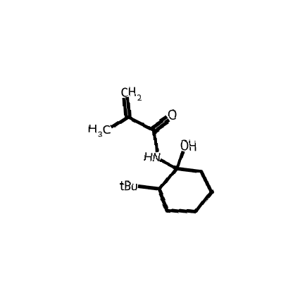 C=C(C)C(=O)NC1(O)CCCCC1C(C)(C)C